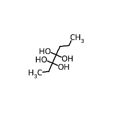 CCCC(O)(O)C(O)(O)CC